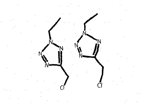 CCn1nnc(CCl)n1.CCn1nnc(CCl)n1